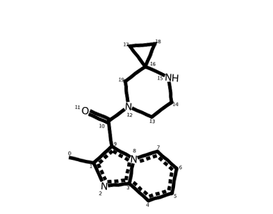 Cc1nc2ccccn2c1C(=O)N1CCNC2(CC2)C1